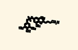 CC(C)(Sc1cc(C(C)(C)C)c(O)c(C(C)(C)C)c1)Sc1cc(C(C)(C)C)c(OC(=O)CCCC(=O)O)c(C(C)(C)C)c1